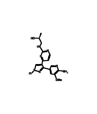 COc1cc(-c2nn(C(C)C)cc2-c2ccnc(NC[C@H](C)O)n2)cnc1N